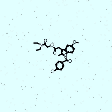 CCN(CC)C(=O)COC(=O)Cc1c(C)n(C(=O)c2ccc(Cl)cc2)c2ccc(OC)cc12